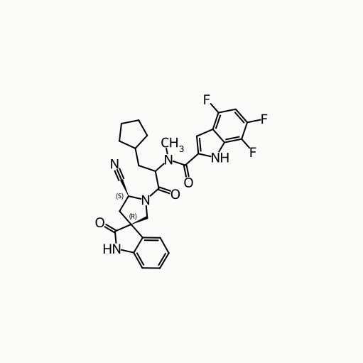 CN(C(=O)c1cc2c(F)cc(F)c(F)c2[nH]1)C(CC1CCCC1)C(=O)N1C[C@]2(C[C@H]1C#N)C(=O)Nc1ccccc12